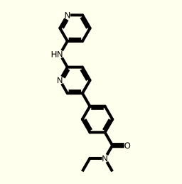 CCN(C)C(=O)c1ccc(-c2ccc(Nc3cccnc3)nc2)cc1